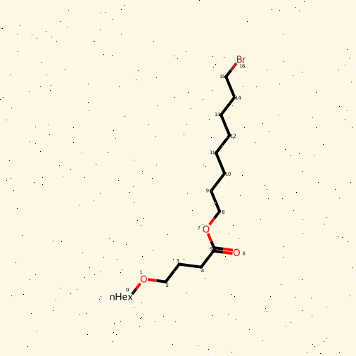 CCCCCCOCCCC(=O)OCCCCCCCCBr